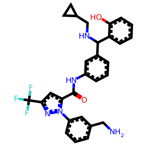 NCc1cccc(-n2nc(C(F)(F)F)cc2C(=O)Nc2cccc(C(NCC3CC3)c3ccccc3O)c2)c1